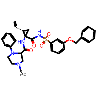 C=C[C@@H]1C[C@]1(NC(=O)C1CN(C(C)=O)CCN1c1ccccc1)C(=O)NS(=O)(=O)c1cccc(OCc2ccccc2)c1